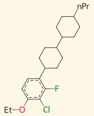 CCCC1CCC(C2CCC(c3ccc(OCC)c(Cl)c3F)CC2)CC1